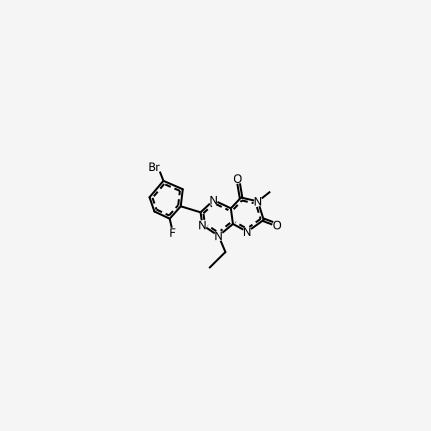 CCn1nc(-c2cc(Br)ccc2F)nc2c(=O)n(C)c(=O)nc1-2